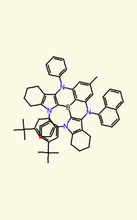 Cc1cc2c3c(c1)N(c1cccc4ccccc14)c1c4c(n(C5=CC=C(C(C)(C)C)CC5)c1B3c1c(c3c(n1C1=C=C=C(C(C)(C)C)C=C1)CCCC3)N2c1ccccc1)CCCC4